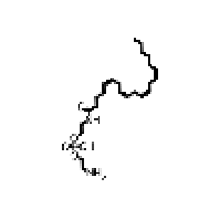 CCCCC/C=C\C/C=C\C/C=C\C/C=C\CCCC(=O)NCCOP(=O)(O)OCCN